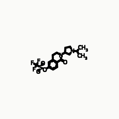 CC(C)N1CCC(N2CCc3cc(OS(=O)(=O)C(F)(F)F)ccc3C2=O)C1